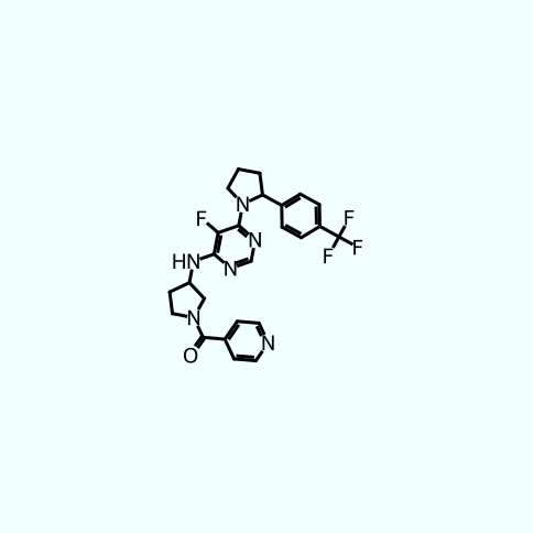 O=C(c1ccncc1)N1CCC(Nc2ncnc(N3CCCC3c3ccc(C(F)(F)F)cc3)c2F)C1